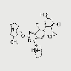 C[C@H]1CN2CCC[C@@]2(COc2nc(N3CC4CCC(C3)N4)c3cc(Cl)c(-c4cc(O)cc(Cl)c4C4CC4)c(F)c3n2)C1